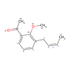 C/C=C\Cc1cccc(C(C)=O)c1OC